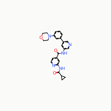 O=C(Nc1cncc(-c2cccc(N3CCOCC3)c2)c1)c1ccnc(NC(=O)C2CC2)c1